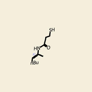 CCCC/C=C(\C)NC(=O)CCS